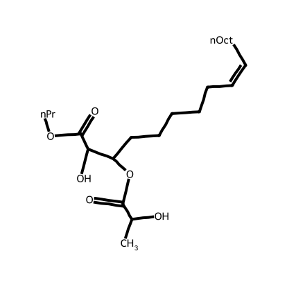 CCCCCCCC/C=C\CCCCCC(OC(=O)C(C)O)C(O)C(=O)OCCC